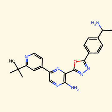 C[C@H](N)c1ccc(-c2nnc(-c3nc(-c4ccnc(C(C)(C)C#N)c4)cnc3N)o2)cc1